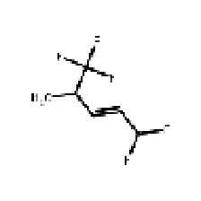 CC(C=CC(F)F)C(F)(F)F